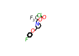 O=C(Cl)OC(CN1CCCC(COc2ccc(F)cc2)C1)C(F)(F)F